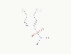 CCN(CC)S(=O)(=O)c1ccc(Cl)c(C(=O)O)c1